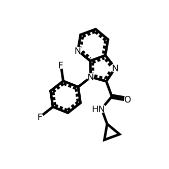 O=C(NC1CC1)c1nc2cccnc2n1-c1ccc(F)cc1F